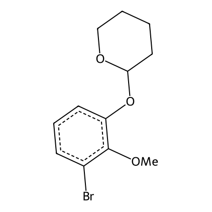 COc1c(Br)cccc1OC1CCCCO1